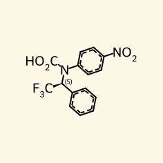 O=C(O)N(c1ccc([N+](=O)[O-])cc1)[C@@H](c1ccccc1)C(F)(F)F